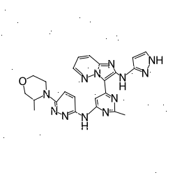 Cc1nc(Nc2ccc(N3CCOCC3C)nn2)cc(-c2c(Nc3cc[nH]n3)nc3cccnn23)n1